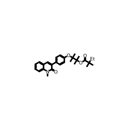 CCC(C)(C)C(=O)OC(C)(C)C(C)(C)Oc1ccc(-c2cc3ccccc3n(C)c2=O)cc1